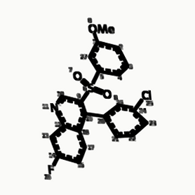 COc1cccc(S(=O)(=O)c2cnc3cc(F)ccc3c2-c2cccc(Cl)c2)c1